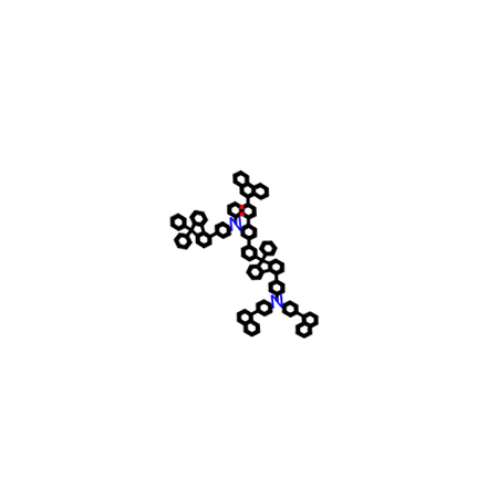 c1ccc(N(c2ccc(-c3cccc4c3-c3ccccc3C4(c3ccccc3)c3ccccc3)cc2)c2cc(-c3cccc(C4(c5ccccc5)c5ccccc5-c5c(-c6ccc(N(c7ccc(-c8cccc9ccccc89)cc7)c7ccc(-c8cccc9ccccc89)cc7)cc6)cccc54)c3)ccc2-c2ccc(-c3cc4ccccc4c4ccccc34)cc2)cc1